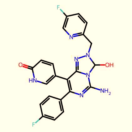 NC1=NC(c2ccc(F)cc2)=C(c2ccc(=O)[nH]c2)C2=NN(Cc3ccc(F)cn3)C(O)N12